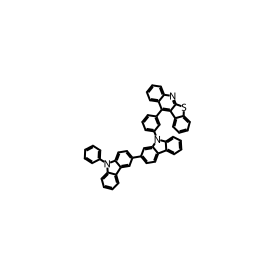 c1ccc(-n2c3ccccc3c3cc(-c4ccc5c6ccccc6n(-c6cccc(-c7c8ccccc8nc8sc9ccccc9c78)c6)c5c4)ccc32)cc1